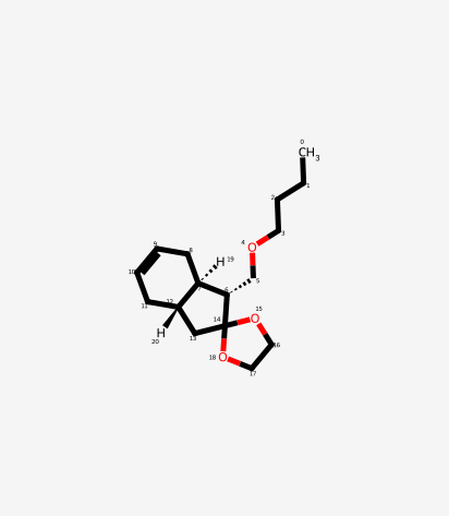 CCCCOC[C@H]1[C@@H]2CC=CC[C@H]2CC12OCCO2